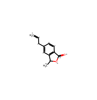 C=CCc1ccc2c(c1)C(C)OC2=O